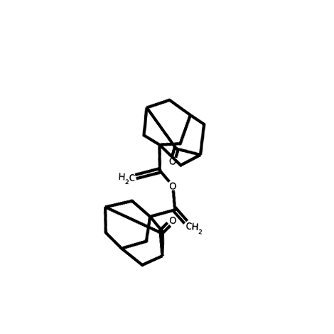 C=C(OC(=C)C12CC3CC(C1)C(=O)C(C3)C2)C12CC3CC(C1)C(=O)C(C3)C2